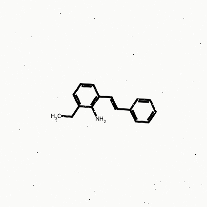 CCc1cccc(C=Cc2ccccc2)c1N